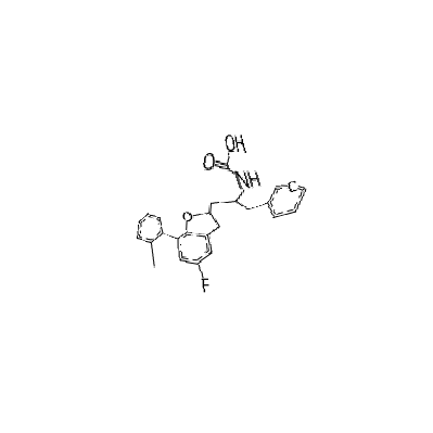 Cc1ccccc1-c1cc(F)cc2c1OC(CC(Cc1ccccc1)NC(=O)O)C2